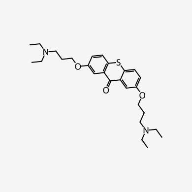 CCN(CC)CCCOc1ccc2sc3ccc(OCCCN(CC)CC)cc3c(=O)c2c1